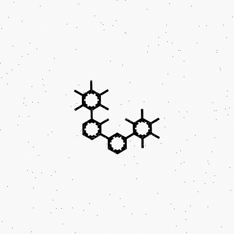 Cc1c(-c2cccc(-c3c(C)c(C)c(C)c(C)c3C)c2)cccc1-c1c(C)c(C)c(C)c(C)c1C